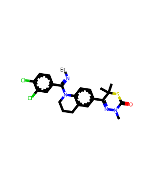 CCN=C(c1ccc(Cl)c(Cl)c1)N1CCCc2cc(C3=NN(C)C(=O)SC3(C)C)ccc21